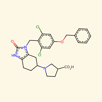 O=C(O)C1CCN(C2CCc3[nH]c(=O)n(Cc4c(Cl)cc(OCc5ccccc5)cc4Cl)c3C2)C1